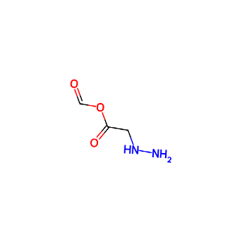 NNCC(=O)OC=O